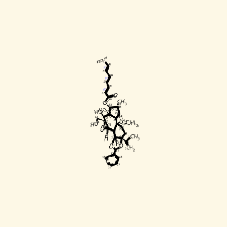 C=C(C)[C@]12C[C@@H](C)[C@@]3(O)C([C@H]1OC(c1ccccc1)O2)[C@@H]1O[C@]1(CO)[C@@H](O)[C@@]1(O)C3C[C@H](C)[C@@H]1OC(=O)/C=C/C=C/C=C/CCC